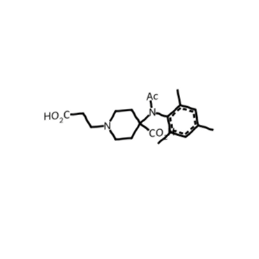 CC(=O)N(c1c(C)cc(C)cc1C)C1(C(=O)O)CCN(CCC(=O)O)CC1